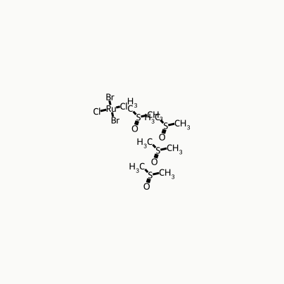 CS(C)=O.CS(C)=O.CS(C)=O.CS(C)=O.[Cl][Ru]([Cl])([Br])[Br]